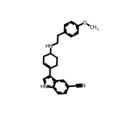 COc1ccc(CCNC2CC=C(c3c[nH]c4ccc(C#N)cc34)CC2)cc1